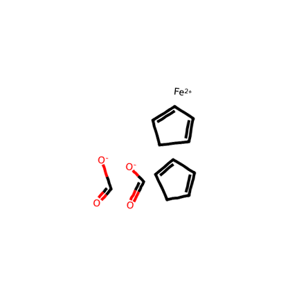 C1=CCC=C1.C1=CCC=C1.O=C[O-].O=C[O-].[Fe+2]